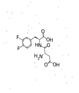 N[C@@H](CC(=O)O)C(=O)N[C@@H](Cc1ccc(F)c(F)c1)C(=O)O